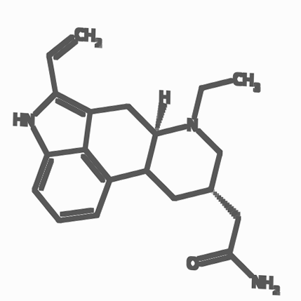 C=Cc1[nH]c2cccc3c2c1C[C@@H]1C3C[C@@H](CC(N)=O)CN1CC